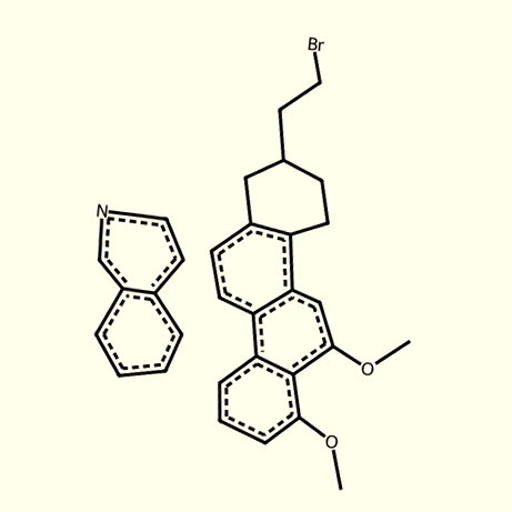 COc1cccc2c1c(OC)cc1c3c(ccc12)CC(CCBr)CC3.c1ccc2cnccc2c1